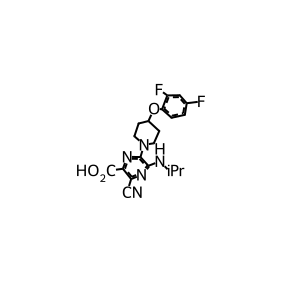 CC(C)Nc1nc(C#N)c(C(=O)O)nc1N1CCC(Oc2ccc(F)cc2F)CC1